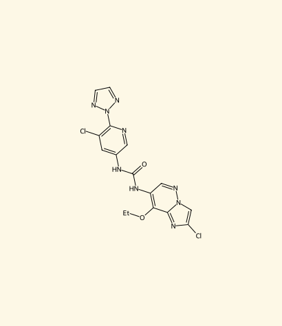 CCOc1c(NC(=O)Nc2cnc(-n3nccn3)c(Cl)c2)cnn2cc(Cl)nc12